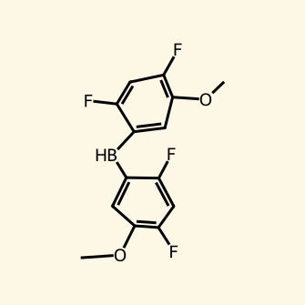 COc1cc(Bc2cc(OC)c(F)cc2F)c(F)cc1F